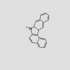 CN1c2ccc3ccccc3c2C2C=c3ccccc3=CC21